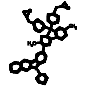 Cc1ccc2c(c1)C(c1ccc(CC3CO3)cc1)(c1ccc(CC3CO3)cc1)c1cc(C)c(-c3ccc4c(c3)c3cc5ccccc5cc3n4-c3ccccc3)cc1-2